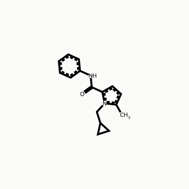 Cc1ccc(C(=O)Nc2ccccc2)n1CC1CC1